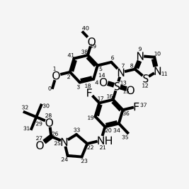 COc1ccc(CN(c2ncns2)S(=O)(=O)c2c(F)cc(NC3CCN(C(=O)OC(C)(C)C)C3)c(C)c2F)c(OC)c1